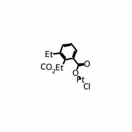 CCOC(=O)c1c(CC)cccc1C(=O)[O][Pt][Cl]